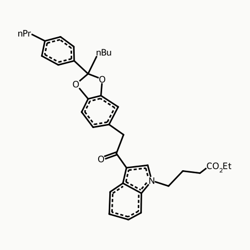 CCCCC1(c2ccc(CCC)cc2)Oc2ccc(CC(=O)c3cn(CCCC(=O)OCC)c4ccccc34)cc2O1